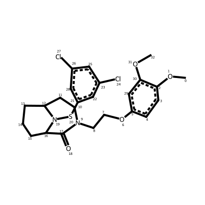 COc1ccc(OCCN2CCC3CCCC(C2=O)N3Sc2cc(Cl)cc(Cl)c2)cc1OC